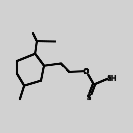 CC1CCC(C(C)C)C(CCOC(=S)S)C1